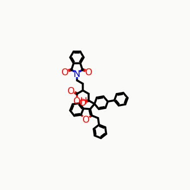 O=C(O)C(CCN1C(=O)c2ccccc2C1=O)CC(=O)C1(c2c(Cc3ccccc3)oc3ccccc23)C=CC(c2ccccc2)C=C1